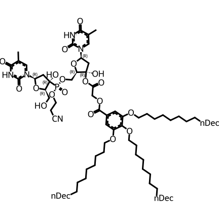 CCCCCCCCCCCCCCCCCCOc1cc(C(=O)OCC(=O)O[C@]2(O)C[C@H](n3cc(C)c(=O)[nH]c3=O)O[C@@H]2COP(=O)(OCCC#N)[C@]2(O)C[C@H](n3cc(C)c(=O)[nH]c3=O)O[C@@H]2CO)cc(OCCCCCCCCCCCCCCCCCC)c1OCCCCCCCCCCCCCCCCCC